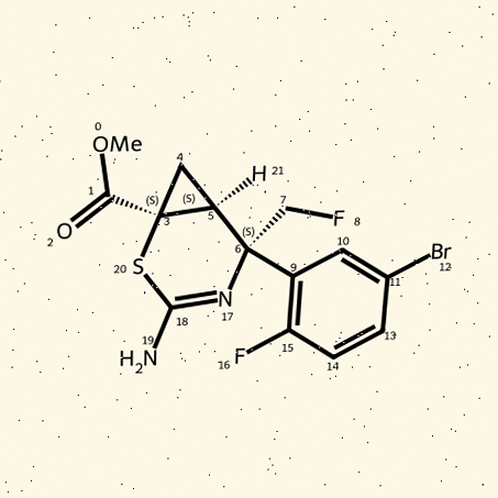 COC(=O)[C@]12C[C@H]1[C@@](CF)(c1cc(Br)ccc1F)N=C(N)S2